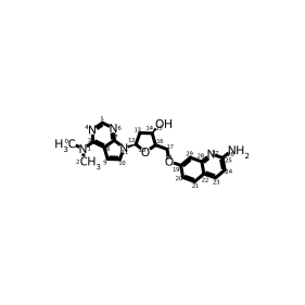 CN(C)c1ncnc2c1ccn2[C@H]1C[C@@H](O)C(COc2ccc3ccc(N)nc3c2)O1